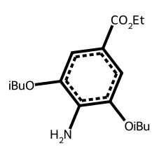 CCOC(=O)c1cc(OCC(C)C)c(N)c(OCC(C)C)c1